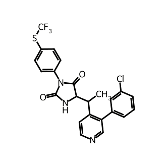 CC(c1ccncc1-c1cccc(Cl)c1)C1NC(=O)N(c2ccc(SC(F)(F)F)cc2)C1=O